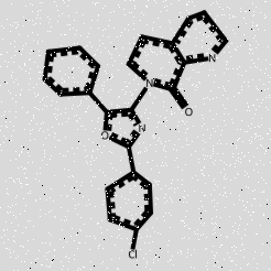 O=c1c2ncccc2ccn1-c1nc(-c2ccc(Cl)cc2)oc1-c1ccccc1